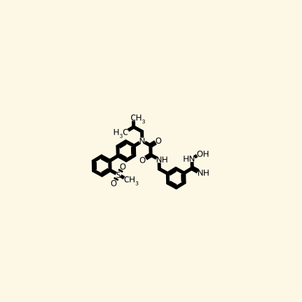 CC(C)CN(C(=O)C(=O)NCc1cccc(C(=N)NO)c1)c1ccc(-c2ccccc2S(C)(=O)=O)cc1